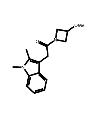 COC1CN(C(=O)Cc2c(C)n(C)c3ccccc23)C1